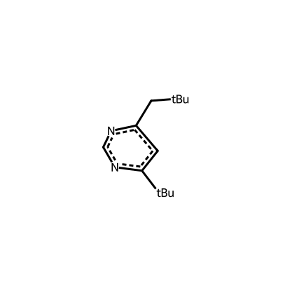 CC(C)(C)Cc1cc(C(C)(C)C)ncn1